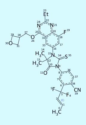 C/C=C/C(F)(F)c1cc(N2C(=O)C(C)(C)N(c3cc(F)c4nc(CC)nc(OCC5COC5)c4c3)C2=S)ccc1C#N